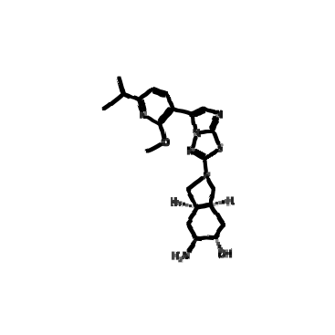 COc1nc(C(C)C)ccc1-c1cnc2sc(N3C[C@H]4C[C@H](O)[C@@H](N)C[C@H]4C3)nn12